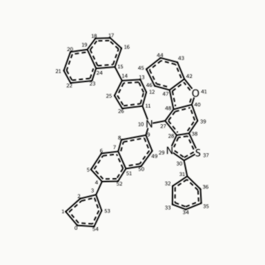 c1ccc(-c2ccc3cc(N(c4ccc(-c5cccc6ccccc56)cc4)c4c5nc(-c6ccccc6)sc5cc5oc6ccccc6c45)ccc3c2)cc1